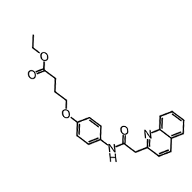 CCOC(=O)CCCOc1ccc(NC(=O)Cc2ccc3ccccc3n2)cc1